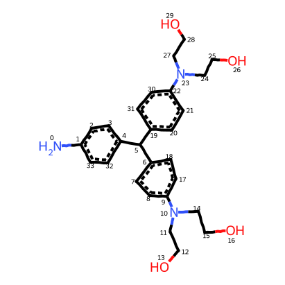 Nc1ccc(C(c2ccc(N(CCO)CCO)cc2)c2ccc(N(CCO)CCO)cc2)cc1